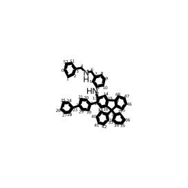 c1ccc(CNCc2cccc(Nc3cc4c(cc3-c3ccc(-c5ccccc5)cc3)C(c3ccccc3)(c3ccccc3)c3ccccc3-4)c2)cc1